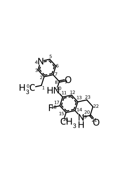 CCc1cnccc1C(=O)Nc1cc2c(c(C)c1F)NC(=O)CC2